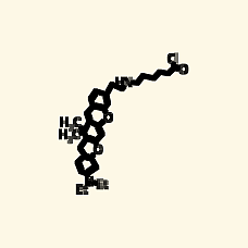 CCN(CC)c1ccc2c(c1)OC1=C(C2)C(C)(C)C2=Cc3ccc(CCNCCCCCC(=O)Cl)cc3OC2=C1